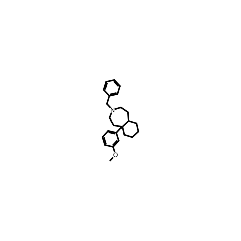 COc1cccc(C23CCCCC2CCN(Cc2ccccc2)CC3)c1